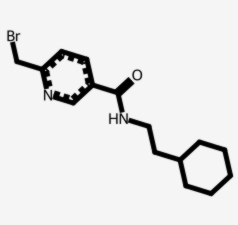 O=C(NCCC1CCCCC1)c1ccc(CBr)nc1